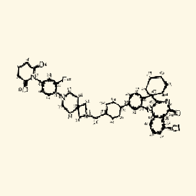 O=C1CCCC(=O)N1c1ccc(N2CCC3(CC2)CN(CC2CCC(c4ccc5c(c4)-n4c(nc(=O)c6c(Cl)cccc64)C54CCCCC4)CC2)C3)c(F)c1